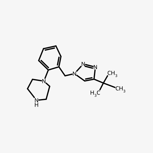 CC(C)(C)c1cn(Cc2ccccc2N2CCNCC2)nn1